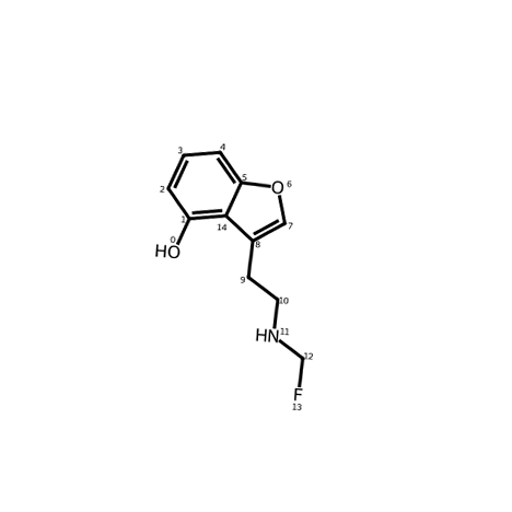 Oc1cccc2occ(CCNCF)c12